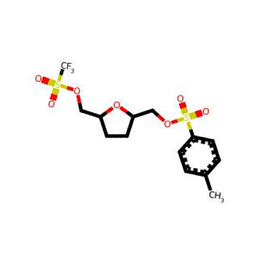 Cc1ccc(S(=O)(=O)OCC2CCC(COS(=O)(=O)C(F)(F)F)O2)cc1